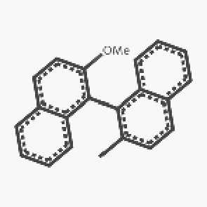 COc1ccc2ccccc2c1-c1c(C)ccc2ccccc12